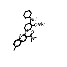 COC1CN(c2nc3ccc(C)cc3cc2C(=O)N(C)C)CCC1NC1CCCCC1